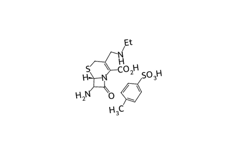 CCNCC1=C(C(=O)O)N2C(=O)C(N)[C@@H]2SC1.Cc1ccc(S(=O)(=O)O)cc1